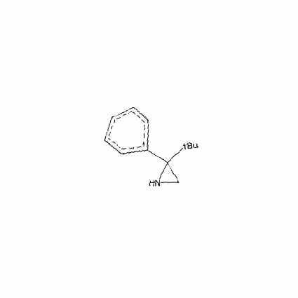 CC(C)(C)C1(c2ccccc2)CN1